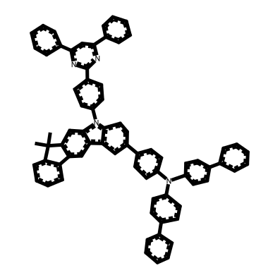 CC1(C)c2ccccc2-c2cc3c4cc(-c5ccc(N(c6ccc(-c7ccccc7)cc6)c6ccc(-c7ccccc7)cc6)cc5)ccc4n(-c4ccc(-c5nc(-c6ccccc6)cc(-c6ccccc6)n5)cc4)c3cc21